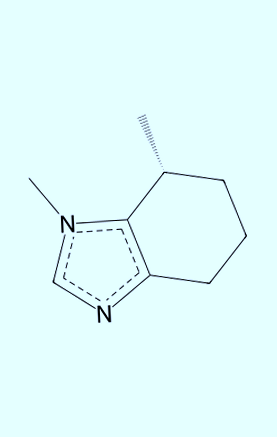 C[C@@H]1CCCc2ncn(C)c21